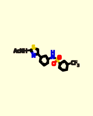 CC(=O)Nc1nc(-c2cccc(NS(=O)(=O)c3cccc(C(F)(F)F)c3)c2)cs1